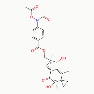 CC(=O)ON(C(C)=O)c1ccc(C(=O)OC[C@]2(C)C=C3C(=O)[C@](C)(O)C4(CC4)C(C)=C3C2O)cc1